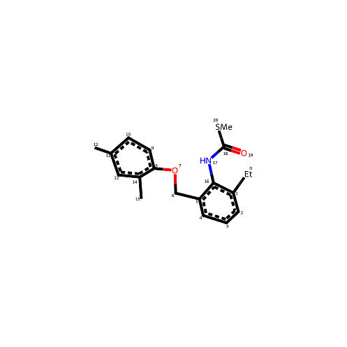 CCc1cccc(COc2ccc(C)cc2C)c1NC(=O)SC